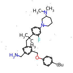 CN(C)C1CCCN(c2ccc(C(C)(C)Cc3cc(CN)cc(COc4ccc(C(C)(C)C)cc4)c3)c(F)c2)C1